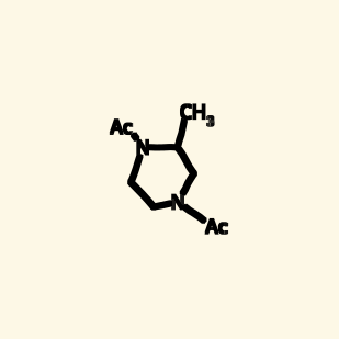 CC(=O)N1CCN(C(C)=O)C(C)C1